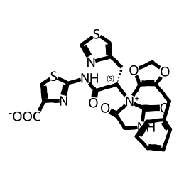 O=C([O-])c1csc(NC(=O)[C@H](Cc2cscn2)[N+]2(C3=C(Cc4ccccc4)OCO3)C(=O)CNC2=O)n1